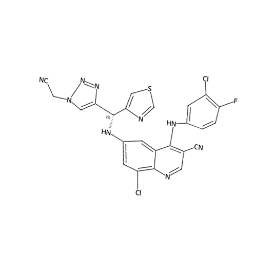 N#CCn1cc([C@@H](Nc2cc(Cl)c3ncc(C#N)c(Nc4ccc(F)c(Cl)c4)c3c2)c2cscn2)nn1